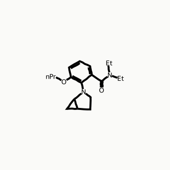 CCCOc1cccc(C(=O)N(CC)CC)c1N1CCC2CC21